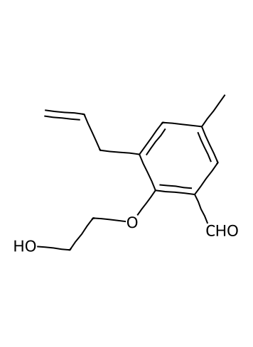 C=CCc1cc(C)cc(C=O)c1OCCO